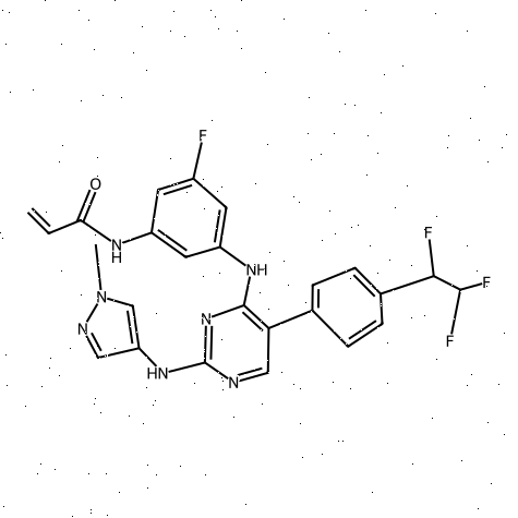 C=CC(=O)Nc1cc(F)cc(Nc2nc(Nc3cnn(C)c3)ncc2-c2ccc(C(F)C(F)F)cc2)c1